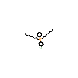 CCCCCCCC[P+](CCCCCCCC)(c1ccccc1)c1ccccc1.[Cl-]